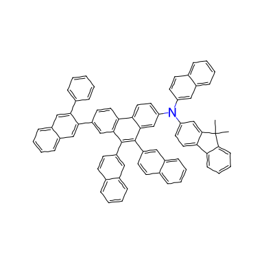 CC1(C)c2ccccc2-c2ccc(N(c3ccc4ccccc4c3)c3ccc4c(c3)c(-c3ccc5ccccc5c3)c(-c3ccc5ccccc5c3)c3cc(-c5cc6ccccc6cc5-c5ccccc5)ccc34)cc21